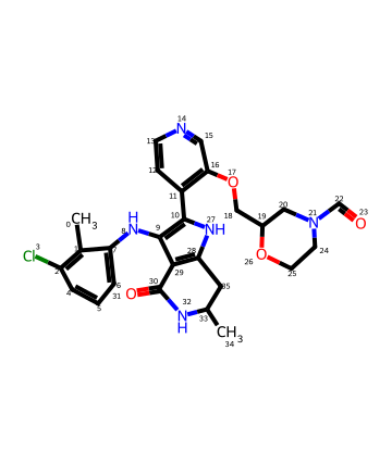 Cc1c(Cl)cccc1Nc1c(-c2ccncc2OCC2CN(C=O)CCO2)[nH]c2c1C(=O)NC(C)C2